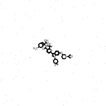 CC1CC2CC(C1)C(NC(=O)c1ccc(-c3cn(C4CCC(F)(F)CC4)c4cc(OC5CCCN(C6COC6)C5)ccc34)nc1C(F)(F)F)(C(=O)O)C2